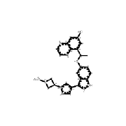 CC(Oc1ccc2[nH]nc(-c3cnn(C4CN(C=O)C4)c3)c2c1)c1cc(Cl)cc2nccnc12